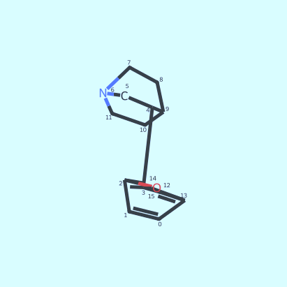 c1cc2c(C3CN4CCC3CC4)cc1CO2